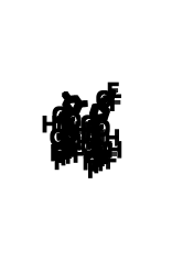 CCC(NC(=O)NNS(=O)(=O)c1cc(C)cc(C)c1)(C(F)(F)F)C(F)(F)F.CCC(NC(=O)NNS(=O)(=O)c1ccc(OC(F)F)cc1)(C(F)(F)F)C(F)(F)F